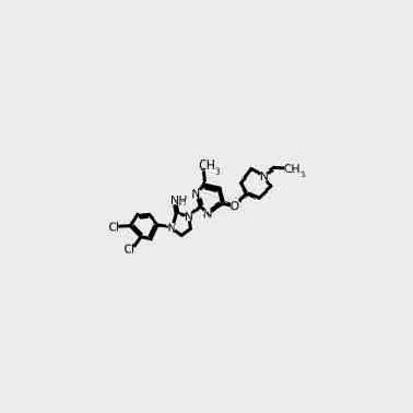 CCN1CCC(Oc2cc(C)nc(N3CCN(c4ccc(Cl)c(Cl)c4)C3=N)n2)CC1